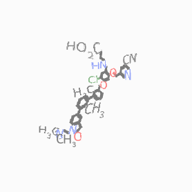 Cc1c(COc2cc(OCc3cncc(C#N)c3)c(CNCCCC(=O)O)cc2Cl)cccc1-c1cccc(-c2ccc3c(c2)CC(=O)N3CCN(C)C)c1C